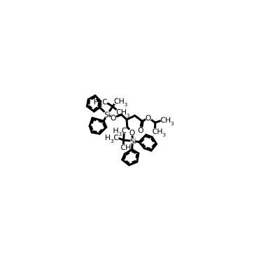 CC(C)OC(=O)CC(CO[Si](c1ccccc1)(c1ccccc1)C(C)(C)C)CO[Si](c1ccccc1)(c1ccccc1)C(C)(C)C